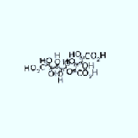 O=C(O)[C@@H](O)[C@H](O)[C@H](O)[C@@H](O)C(=O)O[C@@H](C(=O)O)[C@@H](O)[C@@H](O)[C@H](O)C(=O)O